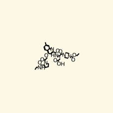 CCNC(=O)[C@@H]1CCCN1C(=O)COc1cc(C(=O)N[C@@H](CC(=O)O)C(=O)N2CCN(C(=O)OCC)CC2)nc2cc(C)ccc12